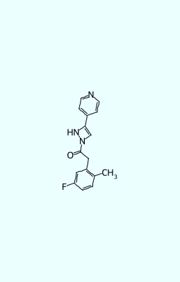 Cc1ccc(F)cc1CC(=O)n1cc(-c2ccncc2)[nH]1